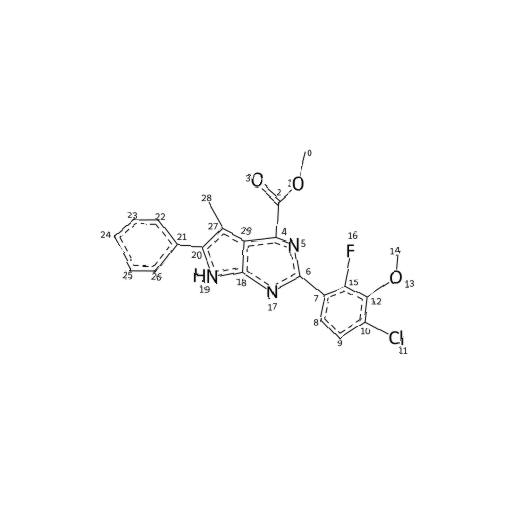 COC(=O)c1nc(-c2ccc(Cl)c(OC)c2F)nc2[nH]c(-c3ccccc3)c(C)c12